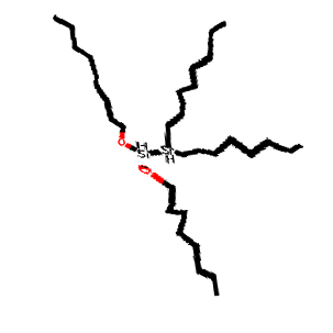 CCCCCCCCO[SiH](OCCCCCCCC)[SnH]([CH2]CCCCCCC)[CH2]CCCCCCC